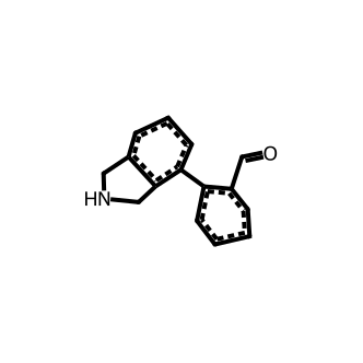 O=Cc1ccccc1-c1cccc2c1CNC2